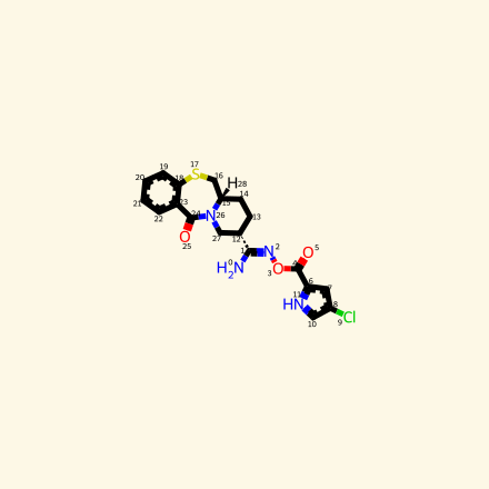 N/C(=N\OC(=O)c1cc(Cl)c[nH]1)[C@H]1CC[C@H]2CSc3ccccc3C(=O)N2C1